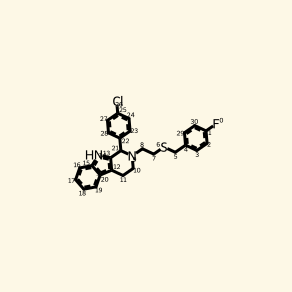 Fc1ccc(CSCCN2CCc3c([nH]c4ccccc34)C2c2ccc(Cl)cc2)cc1